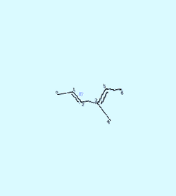 C/[C]=C/C(C)=CC